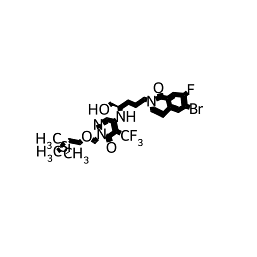 C[Si](C)(C)CCOCn1ncc(N[C@@H](CO)CCCn2ccc3cc(Br)c(F)cc3c2=O)c(C(F)(F)F)c1=O